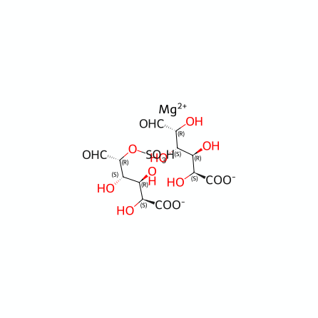 O=C[C@H](O)[C@@H](O)[C@@H](O)[C@H](O)C(=O)[O-].O=C[C@H](OS(=O)(=O)O)[C@@H](O)[C@@H](O)[C@H](O)C(=O)[O-].[Mg+2]